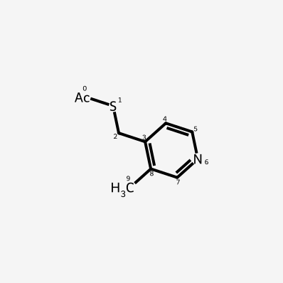 CC(=O)SCc1ccncc1C